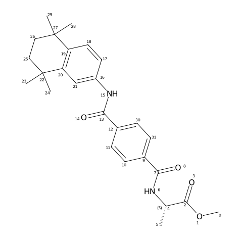 COC(=O)[C@H](C)NC(=O)c1ccc(C(=O)Nc2ccc3c(c2)C(C)(C)CCC3(C)C)cc1